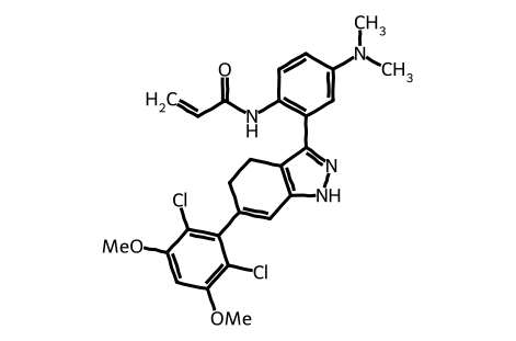 C=CC(=O)Nc1ccc(N(C)C)cc1-c1n[nH]c2c1CCC(c1c(Cl)c(OC)cc(OC)c1Cl)=C2